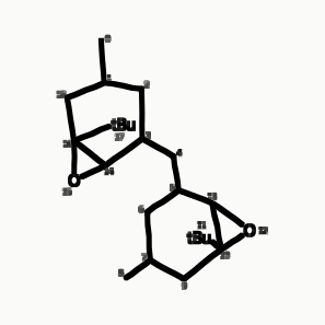 CC1CC(CC2CC(C)CC3(C(C)(C)C)OC23)C2OC2(C(C)(C)C)C1